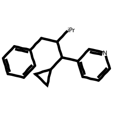 CC(C)[C](Cc1ccccc1)C(c1cccnc1)C1CC1